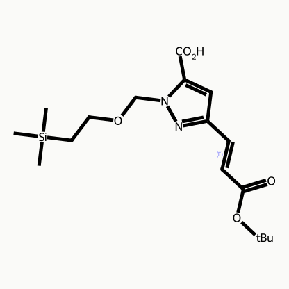 CC(C)(C)OC(=O)/C=C/c1cc(C(=O)O)n(COCC[Si](C)(C)C)n1